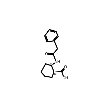 O=C(Cc1ccccc1)N[C@@H]1CCCC[C@@H]1C(=O)O